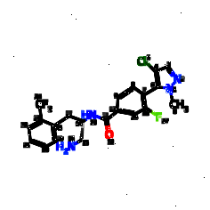 Cn1ncc(Cl)c1-c1ccc(C(=O)N[C@H](CN)Cc2ccccc2C(F)(F)F)cc1F